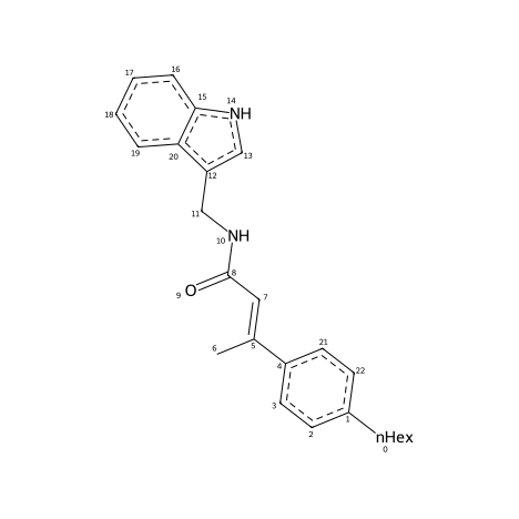 CCCCCCc1ccc(/C(C)=C/C(=O)NCc2c[nH]c3ccccc23)cc1